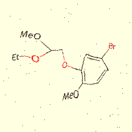 CCOC(COc1cc(Br)ccc1OC)OC